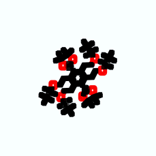 CC1(C)OB(c2c(CCO[Si](C)(C)C(C)(C)C)c(CCO[Si](C)(C)C(C)(C)C)c(B3OC(C)(C)C(C)(C)O3)c(CCO[Si](C)(C)C(C)(C)C)c2CCO[Si](C)(C)C(C)(C)C)OC1(C)C